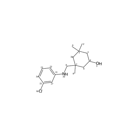 CC1(C)CC(O)CC(C)(CNc2cccc(Cl)c2)C1